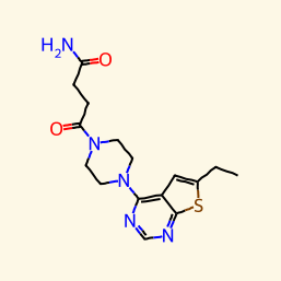 CCc1cc2c(N3CCN(C(=O)CCC(N)=O)CC3)ncnc2s1